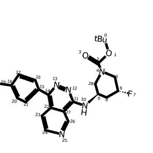 CC(C)(C)OC(=O)N1C[C@H](F)C[C@@H](Nc2nnc(-c3ccc(Cl)cc3)c3ccncc23)C1